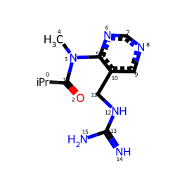 CC(C)C(=O)N(C)c1ncncc1CNC(=N)N